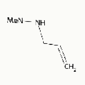 C=CCNNC